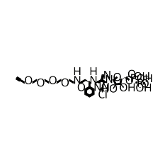 C#CCOCCOCCOCCOCCNC(=O)C[C@@H](Nc1nc(Cl)nc2c1cnn2[C@@H]1O[C@H](COP(=O)(O)CP(=O)(O)O)[C@@H](O)[C@H]1O)c1ccccc1